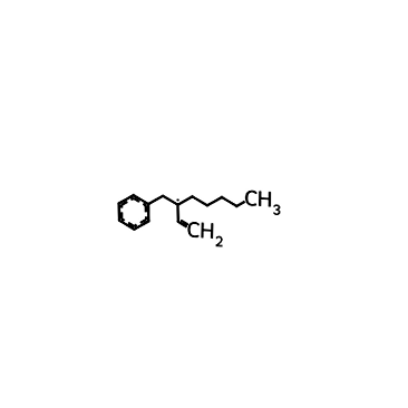 C=C[C](CCCCC)Cc1ccccc1